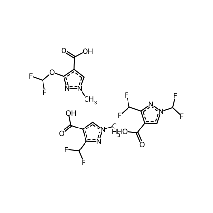 Cn1cc(C(=O)O)c(C(F)F)n1.Cn1cc(C(=O)O)c(OC(F)F)n1.O=C(O)c1cn(C(F)F)nc1C(F)F